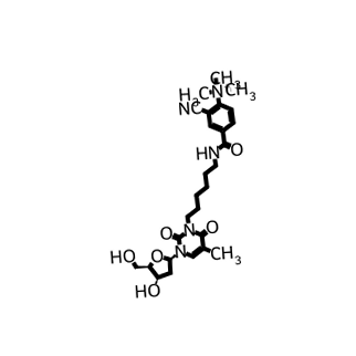 Cc1cn([C@H]2C[C@H](O)[C@@H](CO)O2)c(=O)n(CCCCCCNC(=O)c2ccc([N+](C)(C)C)c(C#N)c2)c1=O